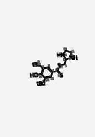 CC(C)(C)c1cc(C(=S)SCC2NCCN2)cc(C(C)(C)C)c1O